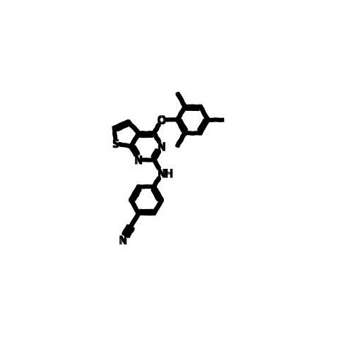 Cc1cc(C)c(Oc2nc(Nc3ccc(C#N)cc3)nc3sccc23)c(C)c1